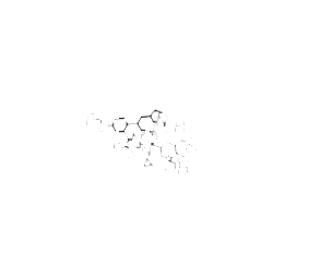 Cn1ccc2cc(-c3ccc(OCF)cc3-c3nc(N(C(=O)C(CC(=O)O)CC4CCOCC4)C4CC4)sc3F)cnc21